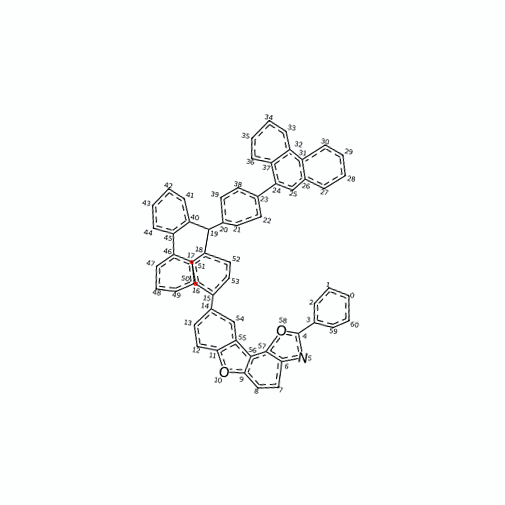 c1ccc(-c2nc3ccc4oc5ccc(-c6ccc(C(c7ccc(-c8cc9ccccc9c9ccccc89)cc7)c7ccccc7-c7ccccc7)cc6)cc5c4c3o2)cc1